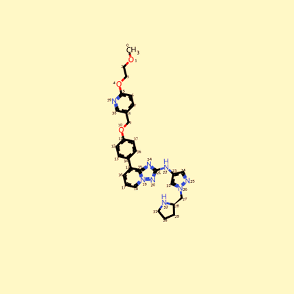 COCCOc1ccc(COc2ccc(-c3cccn4nc(Nc5cnn(C[C@H]6CCCN6)c5)nc34)cc2)cn1